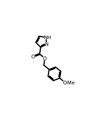 COc1ccc(COC(=O)c2cc[nH]n2)cc1